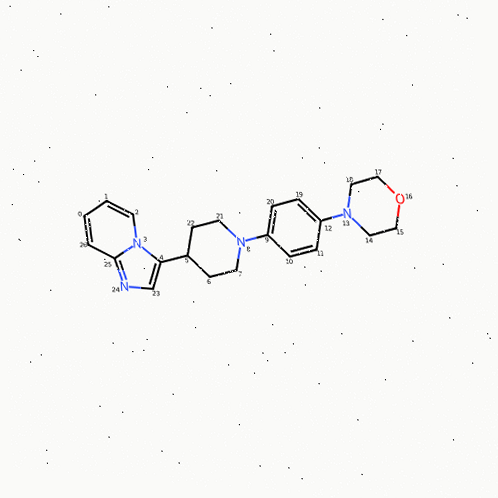 c1ccn2c(C3CCN(c4ccc(N5CCOCC5)cc4)CC3)cnc2c1